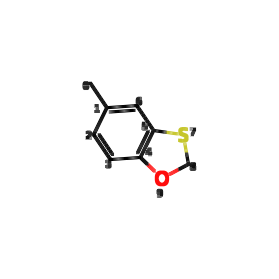 Cc1ccc2c(c1)SCO2